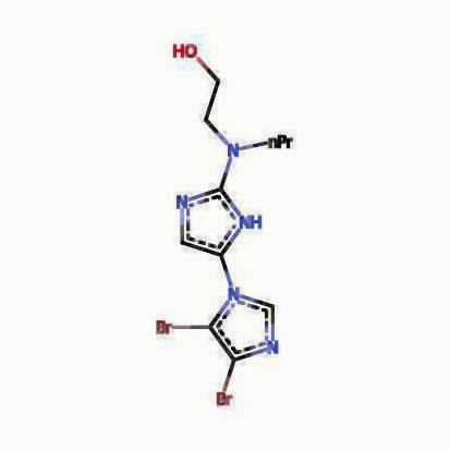 CCCN(CCO)c1ncc(-n2cnc(Br)c2Br)[nH]1